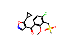 COc1c(C(=O)c2cnoc2C2CC2)ccc(Cl)c1CS(C)(=O)=O